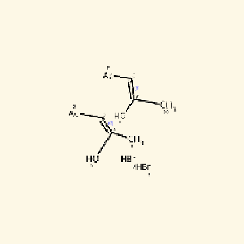 Br.Br.CC(=O)/C=C(/C)O.CC(=O)/C=C(/C)O